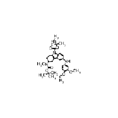 COc1ccc(Nc2ccc3c(c2)c2c(n3C(=O)OC(C)(C)C)CCC(N(C)C(=O)OC(C)(C)C)C2)cc1OC